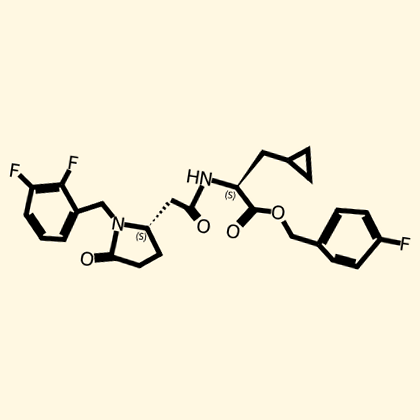 O=C(C[C@@H]1CCC(=O)N1Cc1cccc(F)c1F)N[C@@H](CC1CC1)C(=O)OCc1ccc(F)cc1